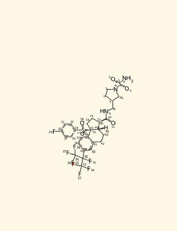 NS(=O)(=O)N1CCC(CNC(=O)[C@@H]2CC[C@@]3(S(=O)(=O)c4ccc(F)cc4)c4ccc(C(F)(C(F)(F)F)C(F)(F)F)cc4CC[C@@H]23)C1